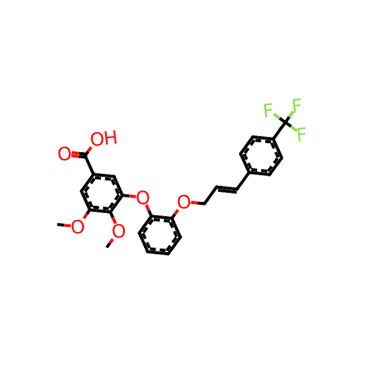 COc1cc(C(=O)O)cc(Oc2ccccc2OC/C=C/c2ccc(C(F)(F)F)cc2)c1OC